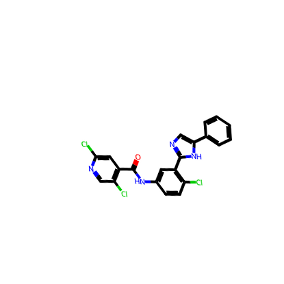 O=C(Nc1ccc(Cl)c(-c2ncc(-c3ccccc3)[nH]2)c1)c1cc(Cl)ncc1Cl